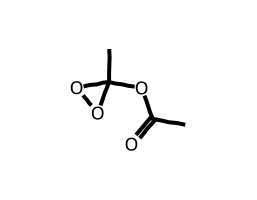 CC(=O)OC1(C)OO1